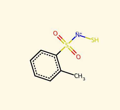 Cc1ccccc1S(=O)(=O)[N+]S